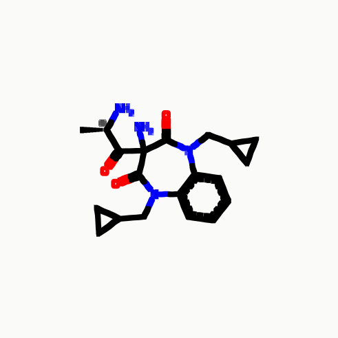 C[C@H](N)C(=O)C1(N)C(=O)N(CC2CC2)c2ccccc2N(CC2CC2)C1=O